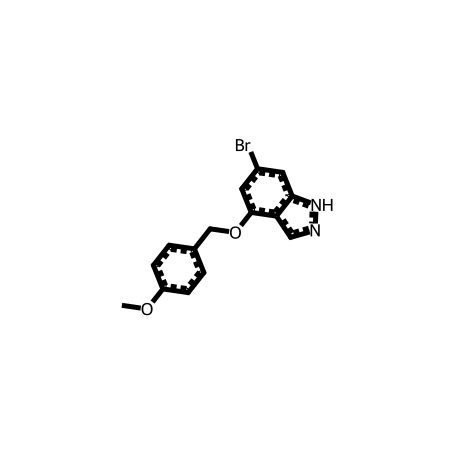 COc1ccc(COc2cc(Br)cc3[nH]ncc23)cc1